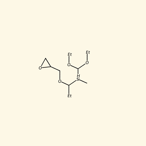 CCOC(OCC)[SiH](C)C(CC)OCC1CO1